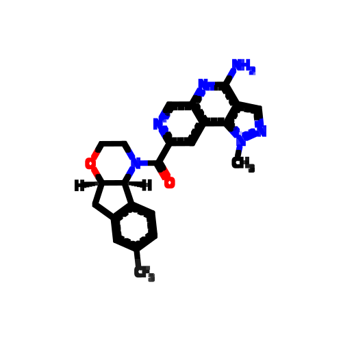 Cn1ncc2c(N)nc3cnc(C(=O)N4CCO[C@@H]5Cc6cc(C(F)(F)F)ccc6[C@@H]54)cc3c21